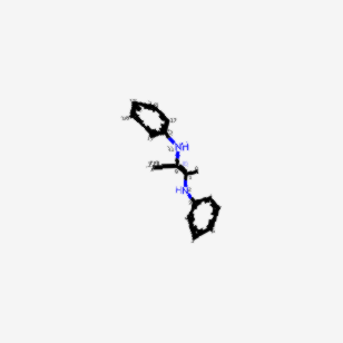 C/C(Nc1ccccc1)=C(/C)Nc1ccccc1